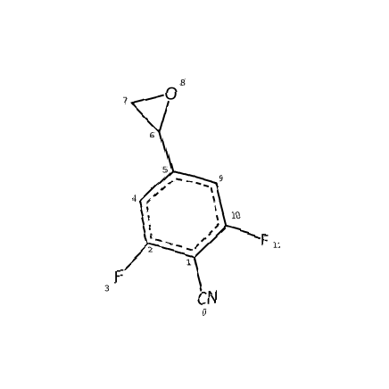 N#Cc1c(F)cc(C2CO2)cc1F